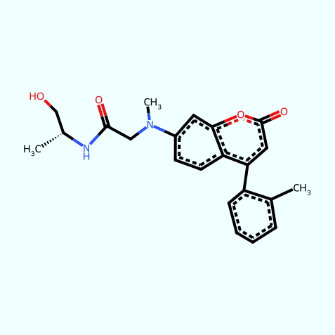 Cc1ccccc1-c1cc(=O)oc2cc(N(C)CC(=O)N[C@H](C)CO)ccc12